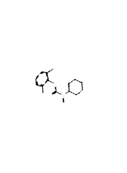 Cc1cccc(C)c1NC(=O)N(C)C1CCCCC1